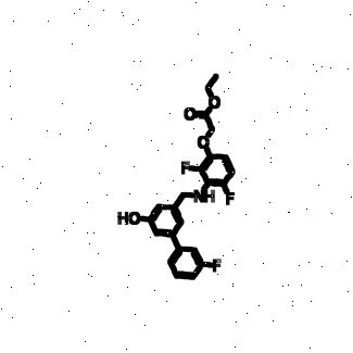 CCOC(=O)COc1ccc(F)c(NCc2cc(O)cc(-c3cccc(F)c3)c2)c1F